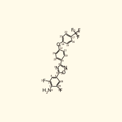 Nc1c(F)cc(-c2nc(-c3ccc(Oc4ccc(C(F)(F)F)cc4)cc3)no2)cc1F